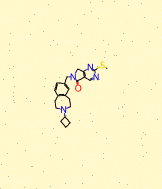 CSc1ncc2c(n1)CN(Cc1ccc3c(c1)CCN(C1CCC1)CC3)C2=O